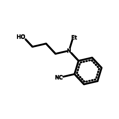 CCN(CCCO)c1ccccc1C#N